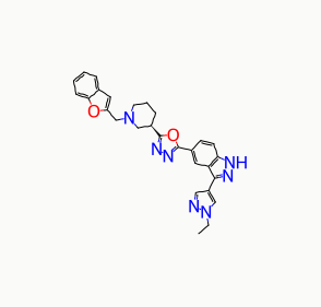 CCn1cc(-c2n[nH]c3ccc(-c4nnc([C@@H]5CCCN(Cc6cc7ccccc7o6)C5)o4)cc23)cn1